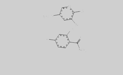 NC(=O)c1ccc(F)cc1Cl.O=S(=O)(O)c1cnc(Cl)c(Br)c1